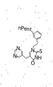 CCCCCc1cccc(CCn2cc(Cc3cncnc3)c(=O)[nH]c2=S)c1